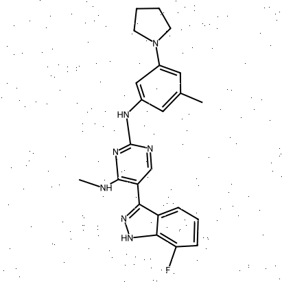 CNc1nc(Nc2cc(C)cc(N3CCCC3)c2)ncc1-c1n[nH]c2c(F)cccc12